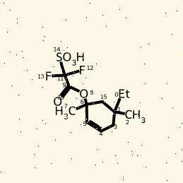 CCC1(C)CC=CC(C)(OC(=O)C(F)(F)S(=O)(=O)O)C1